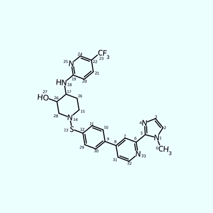 Cn1ccnc1-c1cc(-c2ccc(SN3CCC(Nc4ccc(C(F)(F)F)cn4)C(O)C3)cc2)ccn1